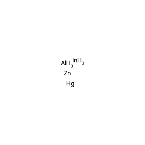 [AlH3].[Hg].[InH3].[Zn]